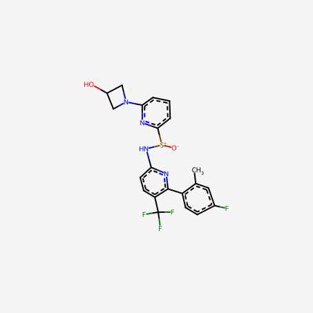 Cc1cc(F)ccc1-c1nc(N[S+]([O-])c2cccc(N3CC(O)C3)n2)ccc1C(F)(F)F